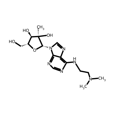 CN(C)CCNc1ncnc2c1ncn2[C@@H]1O[C@H](CO)[C@@H](O)[C@@]1(C)O